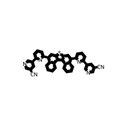 N#Cc1cncc(-c2cccc(-c3cc4sc5cc(-c6cccc(-c7cncc(C#N)c7)n6)c6ccccc6c5c4c4ccccc34)n2)c1